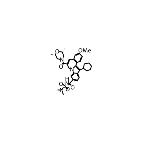 COc1ccc2c(c1)C=C(C(=O)N1C[C@@H](C)O[C@@H](C)C1)Cn1c-2c(C2CCCCC2)c2ccc(C(=O)NS(=O)(=O)N(C)C)cc21